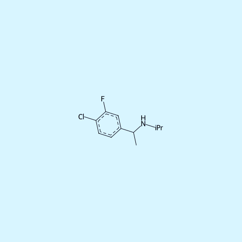 CC(C)NC(C)c1ccc(Cl)c(F)c1